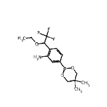 CCOC(c1ccc(B2OCC(C)(C)CO2)cc1N)C(F)(F)F